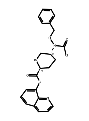 O=C(Oc1cccc2cccnc12)[C@@H]1CC[C@@H](N(OCc2ccccc2)C(=O)Cl)CN1